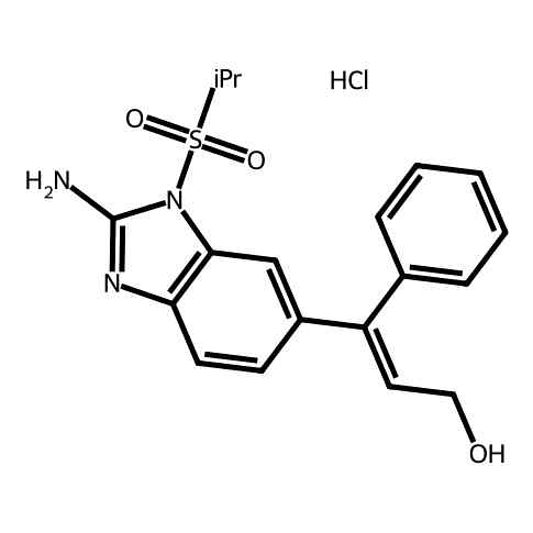 CC(C)S(=O)(=O)n1c(N)nc2ccc(C(=CCO)c3ccccc3)cc21.Cl